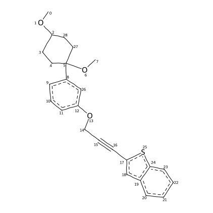 COC1CCC(OC)(c2cccc(OCC#Cc3cc4ccccc4s3)c2)CC1